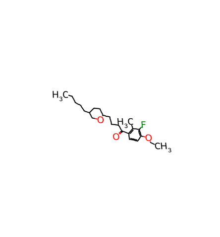 CCCCCC1CCC(CCCC(=O)c2ccc(OCC)c(F)c2C)OC1